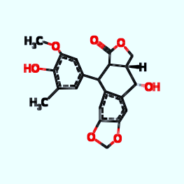 COc1cc(C2c3cc4c(cc3[C@@H](O)[C@H]3COC(=O)C23)OCO4)cc(C)c1O